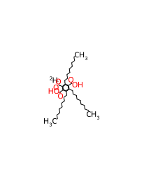 [2H]OC(=O)c1c(CCCCCCCCCC)c(C(=O)O)c(CCCCCCCCCC)c(CCCCCCCCCC)c1C(=O)O